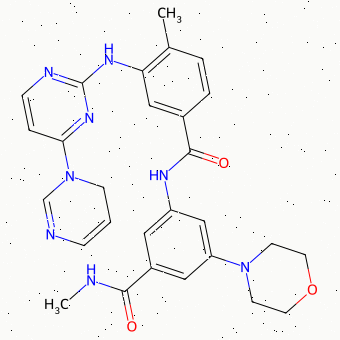 CNC(=O)c1cc(NC(=O)c2ccc(C)c(Nc3nccc(N4C=NC=CC4)n3)c2)cc(N2CCOCC2)c1